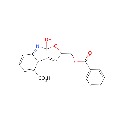 O=C(O)C1=CC=CC2=NC3(O)OC(COC(=O)c4ccccc4)C=C3C12